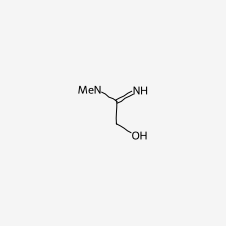 CNC(=N)CO